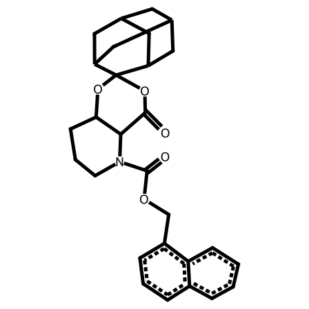 O=C1OC2(OC3CCCN(C(=O)OCc4cccc5ccccc45)C13)C1CC3CC(C1)CC2C3